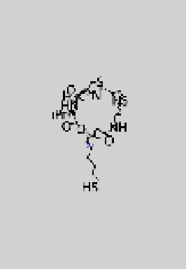 CC(C)[C@@H]1NC(=O)[C@]2(C)CSC(=N2)c2csc(n2)CNC(=O)C[C@@H](/C=C/CCCCS)OC1=O